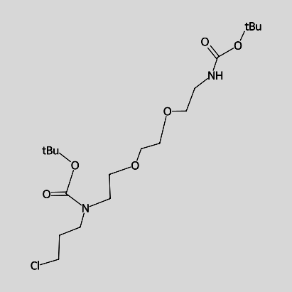 CC(C)(C)OC(=O)NCCOCCOCCN(CCCCl)C(=O)OC(C)(C)C